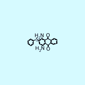 Nc1cc(Sc2ccccc2)c(N)c2c1C(=O)c1ccccc1C2=O